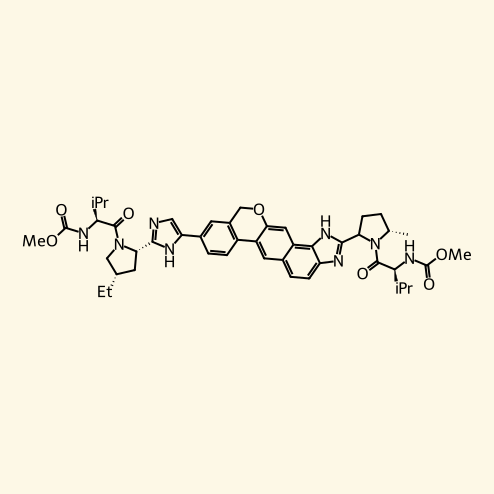 CC[C@H]1C[C@@H](c2ncc(-c3ccc4c(c3)COc3cc5c(ccc6nc(C7CC[C@H](C)N7C(=O)[C@@H](NC(=O)OC)C(C)C)[nH]c65)cc3-4)[nH]2)N(C(=O)[C@@H](NC(=O)OC)C(C)C)C1